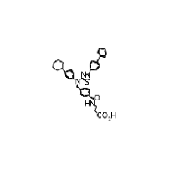 O=C(O)CCNC(=O)c1ccc(CN(c2ccc(C3CCCCC3)cc2)c2nc(-c3ccc(-c4ccccc4)cc3)cs2)cc1